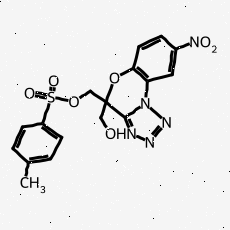 Cc1ccc(S(=O)(=O)OCC2(CO)Oc3ccc([N+](=O)[O-])cc3-n3nnnc32)cc1